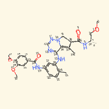 COC[C@H](C)NC(=O)C1CN2N=CN=C(Nc3cc(NC(=O)c4ccc(OC)c(OC)c4)ccc3C)C2=C1C